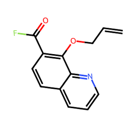 C=CCOc1c(C(=O)F)ccc2cccnc12